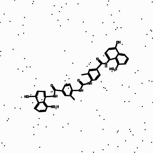 Cc1cc(C(=O)Nc2ccc(O)c3cccc(S(=O)(=O)O)c23)ccc1NC(=O)Nc1ccc(C(=O)Nc2ccc(O)c3cccc(S(=O)(=O)O)c23)cc1C